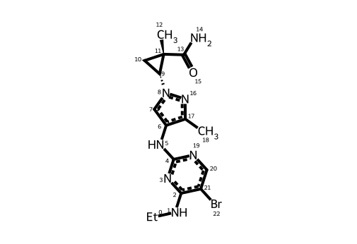 CCNc1nc(Nc2cn([C@@H]3C[C@]3(C)C(N)=O)nc2C)ncc1Br